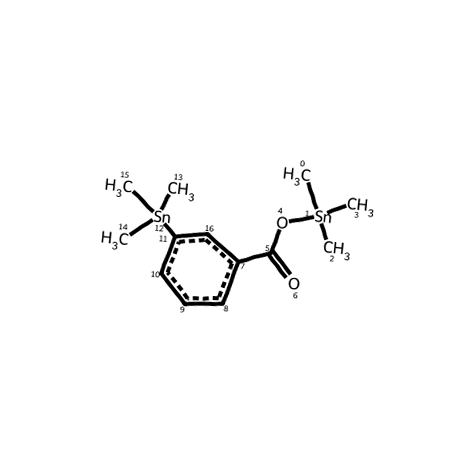 [CH3][Sn]([CH3])([CH3])[O]C(=O)c1ccc[c]([Sn]([CH3])([CH3])[CH3])c1